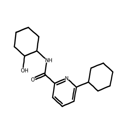 O=C(NC1CCCCC1O)c1cccc(C2CCCCC2)n1